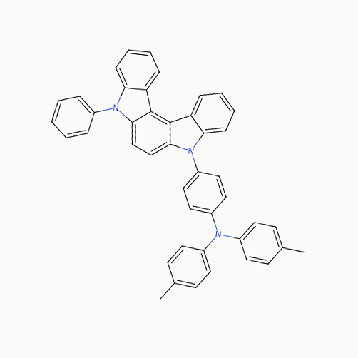 Cc1ccc(N(c2ccc(C)cc2)c2ccc(-n3c4ccccc4c4c5c6ccccc6n(-c6ccccc6)c5ccc43)cc2)cc1